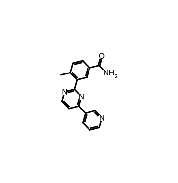 Cc1ccc(C(N)=O)cc1-c1nccc(-c2cccnc2)n1